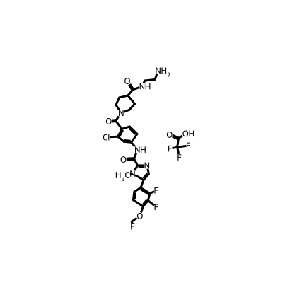 Cn1c(-c2ccc(OCF)c(F)c2F)cnc1C(=O)Nc1ccc(C(=O)N2CCC(C(=O)NCCN)CC2)c(Cl)c1.O=C(O)C(F)(F)F